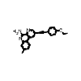 CCOc1ccc(C#Cc2cnc3c(N)nc4cc(C)ccc4c3c2)cc1